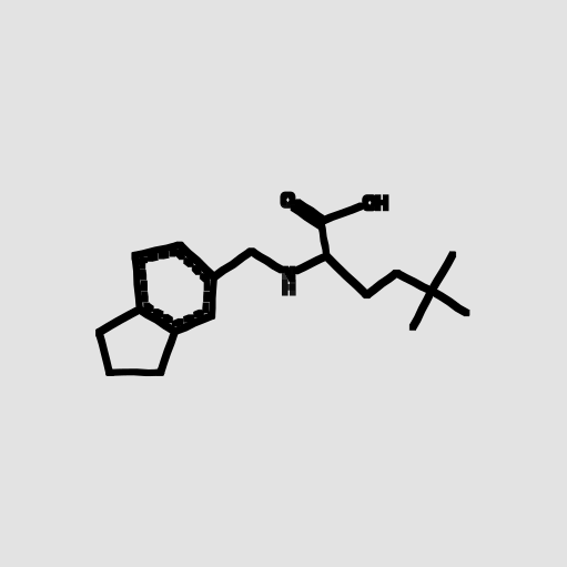 CC(C)(C)CCC(NCc1ccc2c(c1)CCC2)C(=O)O